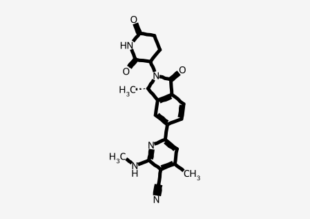 CNc1nc(-c2ccc3c(c2)[C@H](C)N(C2CCC(=O)NC2=O)C3=O)cc(C)c1C#N